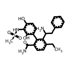 CCc1ccc(C(N)=O)c(-c2ccc(O)c(NS(C)(=O)=O)c2O)c1C(N)Cc1ccccc1